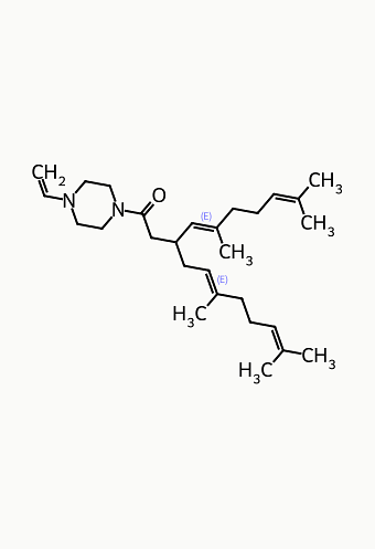 C=CN1CCN(C(=O)CC(/C=C(\C)CCC=C(C)C)C/C=C(\C)CCC=C(C)C)CC1